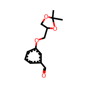 CC1(C)OCC(COc2cccc(C=O)c2)O1